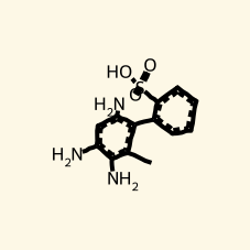 Cc1c(N)c(N)cc(N)c1-c1ccccc1S(=O)(=O)O